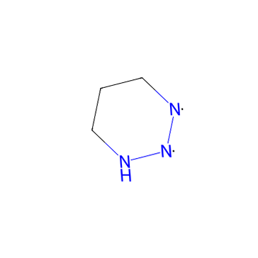 C1C[N][N]NC1